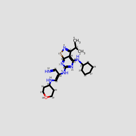 CC(C)c1nsc2nc(N/C(C=N)=C/NC3CCOCC3)nc(NC3CCCCC3)c12